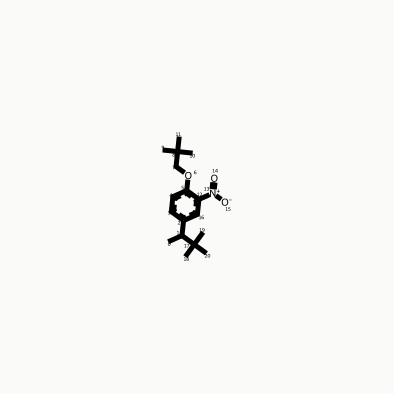 CC(c1ccc(OCC(C)(C)C)c([N+](=O)[O-])c1)C(C)(C)C